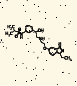 CCc1n[nH]c2cc(OCCNC[C@H](O)c3cccc(NS(=O)(=O)C(C)C)c3)ccc12